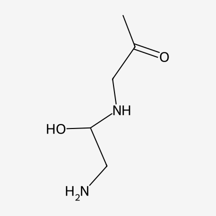 CC(=O)CNC(O)CN